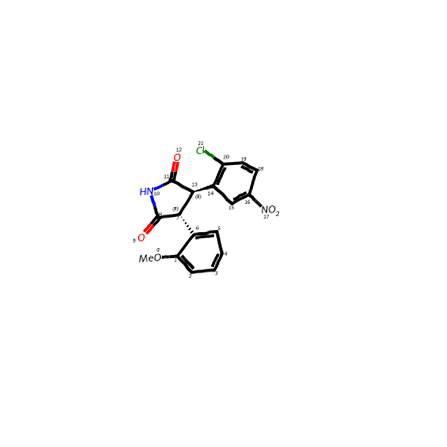 COc1ccccc1[C@@H]1C(=O)NC(=O)[C@H]1c1cc([N+](=O)[O-])ccc1Cl